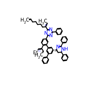 C=CCCCCC/C(=C\C)c1nc(-c2ccccc2)nc(-c2ccc(/C(C=C)=C/CC)c(-c3cc(-c4ccccc4)cc([C@H]4CC(c5ccccc5)NC(c5ccccc5)=N4)c3)c2)n1